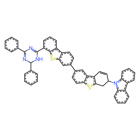 C1=CC(n2c3ccccc3c3ccccc32)Cc2sc3ccc(-c4ccc5c(c4)sc4c(C6=NC(c7ccccc7)=NC(c7ccccc7)N6)cccc45)cc3c21